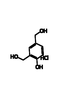 Cl.OCc1ccc(O)c(CO)c1